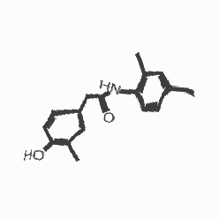 Cc1ccc(NC(=O)Cc2ccc(O)c(C)c2)c(C)c1